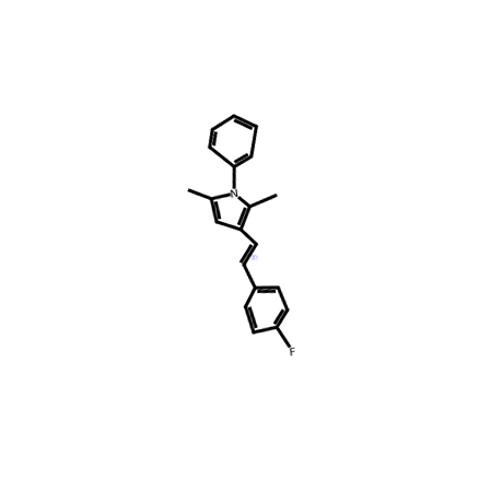 Cc1cc(/C=C/c2ccc(F)cc2)c(C)n1-c1ccccc1